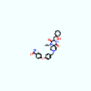 CCCCN1C(=O)[C@@H](CC2(O)CCCCC2)NC(=O)C12CCN(Cc1ccc(Oc3ccc(C(N)=O)cc3)cc1)CC2